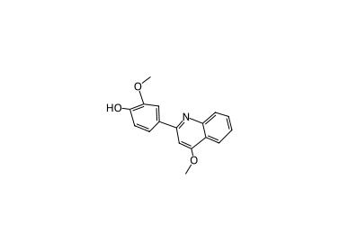 COc1cc(-c2cc(OC)c3ccccc3n2)ccc1O